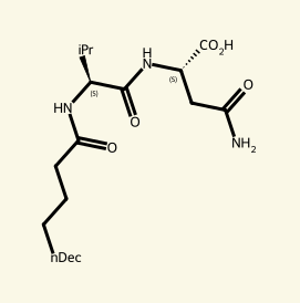 CCCCCCCCCCCCCC(=O)N[C@H](C(=O)N[C@@H](CC(N)=O)C(=O)O)C(C)C